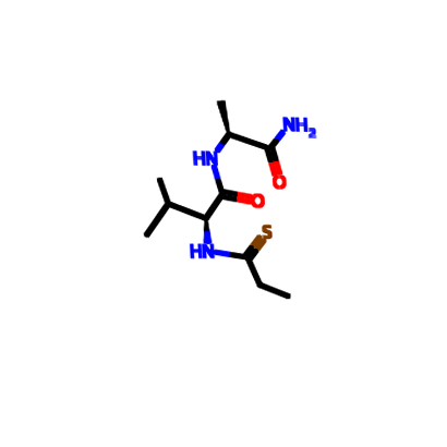 CCC(=S)N[C@H](C(=O)N[C@@H](C)C(N)=O)C(C)C